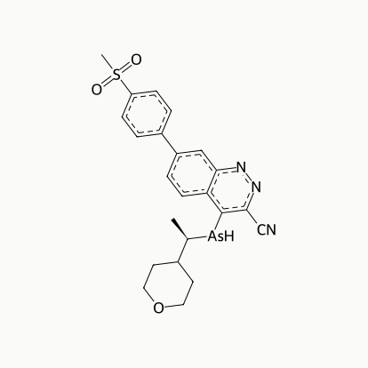 C[C@@H]([AsH]c1c(C#N)nnc2cc(-c3ccc(S(C)(=O)=O)cc3)ccc12)C1CCOCC1